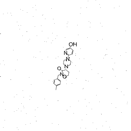 Cc1ccc(CN2OCC[C@@H](N3CCN(c4ccc(O)cn4)CC3)C2=O)cc1